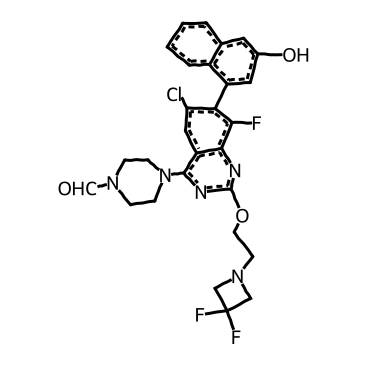 O=CN1CCN(c2nc(OCCN3CC(F)(F)C3)nc3c(F)c(-c4cc(O)cc5ccccc45)c(Cl)cc23)CC1